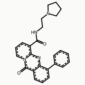 O=C(NCCN1CCCC1)c1cccn2c(=O)c3cccc(-c4ccccc4)c3nc12